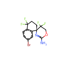 NC1=N[C@@]2(CCC(F)(F)c3ccc(Br)cc32)C(F)(F)CO1